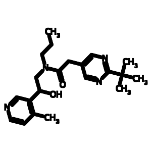 CCCN(CC(O)c1cnccc1C)C(=O)Cc1cnc(C(C)(C)C)nc1